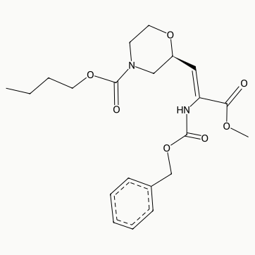 CCCCOC(=O)N1CCO[C@@H](/C=C(\NC(=O)OCc2ccccc2)C(=O)OC)C1